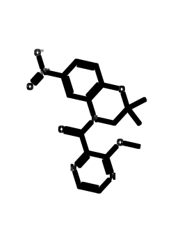 COc1nccnc1C(=O)N1CC(C)(C)Oc2ccc([N+](=O)[O-])cc21